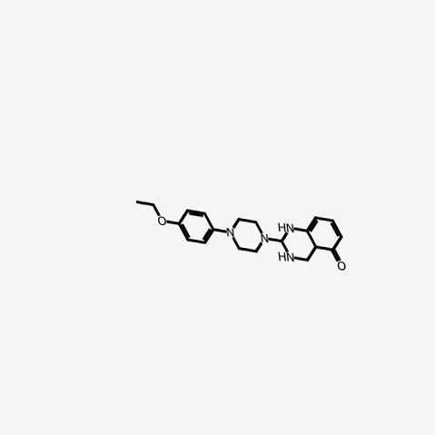 CCOc1ccc(N2CCN(C3NCC4C(=O)C=CC=C4N3)CC2)cc1